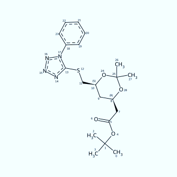 CC(C)(C)OC(=O)C[C@H]1C[C@@H](CSc2nnnn2-c2ccccc2)OC(C)(C)O1